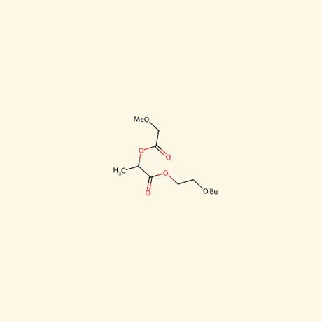 COCC(=O)OC(C)C(=O)OCCOCC(C)C